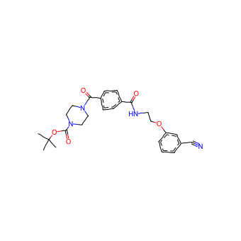 CC(C)(C)OC(=O)N1CCN(C(=O)c2ccc(C(=O)NCCOc3cccc(C#N)c3)cc2)CC1